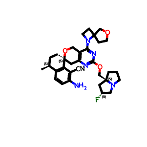 C[C@H]1CC[C@]2(Cc3nc(OC[C@@]45CCCN4C[C@H](F)C5)nc(N4CCC45CCOC5)c3CO2)c2c1ccc(N)c2C#N